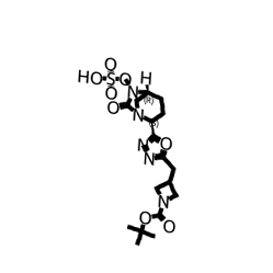 CC(C)(C)OC(=O)N1CC(Cc2nnc([C@@H]3CC[C@@H]4CN3C(=O)N4OS(=O)(=O)O)o2)C1